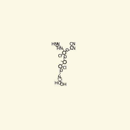 Cc1c(COc2cc(OCc3cncc(C#N)c3)c(CNCc3cc[nH]n3)cc2Cl)cccc1-c1cccc(OCCCN2CCC(O)(CO)CC2)c1Cl